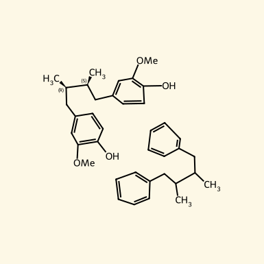 CC(Cc1ccccc1)C(C)Cc1ccccc1.COc1cc(C[C@@H](C)[C@@H](C)Cc2ccc(O)c(OC)c2)ccc1O